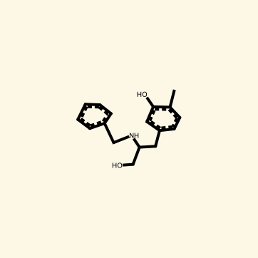 Cc1ccc(CC(CO)NCc2ccccc2)cc1O